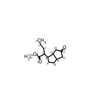 CCCC(C(=O)OC)C1CCC2CC(=O)CC21